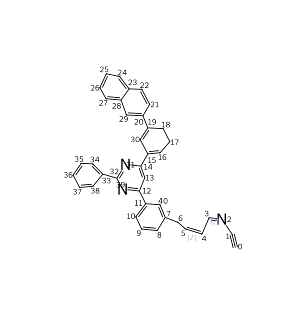 C#C/N=C\C=C/Cc1cccc(-c2cc(C3=CCCC(c4ccc5ccccc5c4)=C3)nc(-c3ccccc3)n2)c1